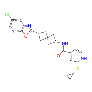 O=C(NC1CC2(C1)CC(c1nc3cc(Cl)cnc3o1)C2)C1=CC(SC2CC2)NC=C1